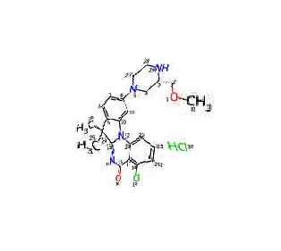 COC[C@@H]1CN(c2ccc3c(c2)-n2c(nc(=O)c4c(Cl)cccc42)C3(C)C)CCN1.Cl